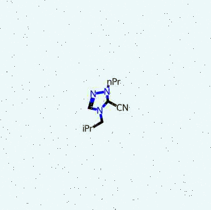 CCCN1N=CN(CC(C)C)C1C#N